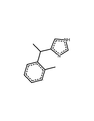 Cc1[c]cccc1C(C)c1c[nH]cn1